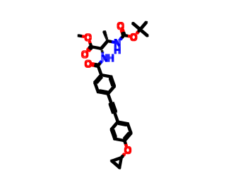 COC(=O)[C@@H](NC(=O)c1ccc(C#Cc2ccc(OC3CC3)cc2)cc1)[C@@H](C)NC(=O)OC(C)(C)C